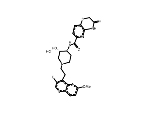 COc1ccc2ncc(F)c(CCN3CC[C@H](NC(=O)c4ccc5c(n4)NC(=O)CS5)[C@@H](O)C3)c2n1.Cl